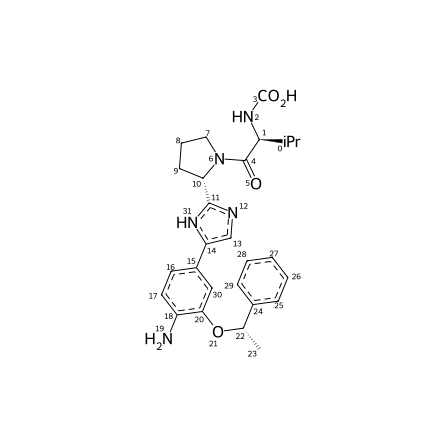 CC(C)[C@H](NC(=O)O)C(=O)N1CCC[C@H]1c1ncc(-c2ccc(N)c(O[C@@H](C)c3ccccc3)c2)[nH]1